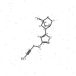 CCC#CCOc1nsc(C2C[C@@H]3CCC2C3)n1